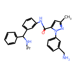 Cc1cc(C(=O)Nc2cccc(C(NC(C)C)c3ccccc3)c2)n(-c2cccc(CN)c2)n1